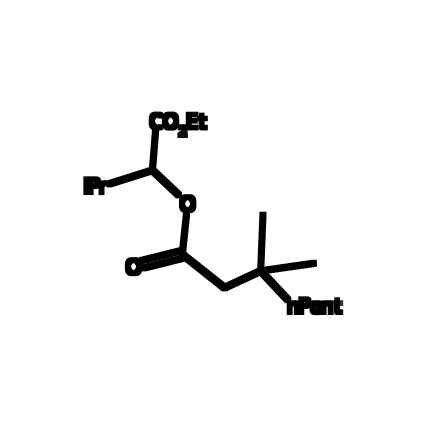 CCCCCC(C)(C)CC(=O)OC(C(=O)OCC)C(C)C